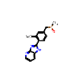 COc1cc(C[S+](C)[O-])ccc1-c1nc2ncccc2[nH]1